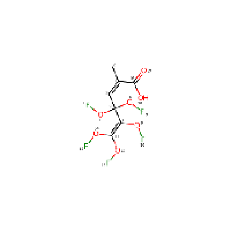 CC(=CC(OF)(OF)C(OF)=C(OF)OF)C(=O)O